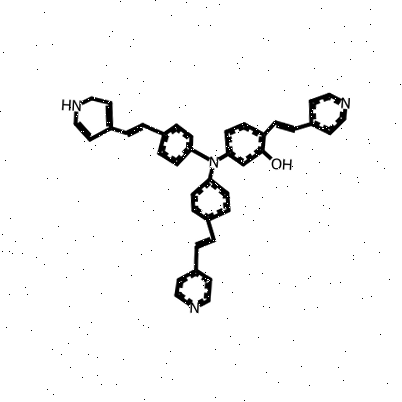 Oc1cc(N(c2ccc(/C=C/C3=CCNC=C3)cc2)c2ccc(/C=C/c3ccncc3)cc2)ccc1/C=C/c1ccncc1